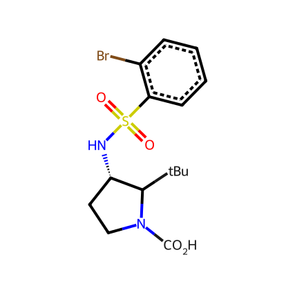 CC(C)(C)C1[C@@H](NS(=O)(=O)c2ccccc2Br)CCN1C(=O)O